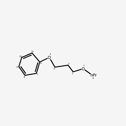 CCCOCCCOc1ccccc1